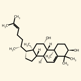 CC(C)=CCC[C@@H](C)[C@H]1CC[C@H]2[C@@H]3CC=C4C(C)(C)[C@H](O)CC[C@]4(C)[C@H]3[C@@H](O)C[C@]12C